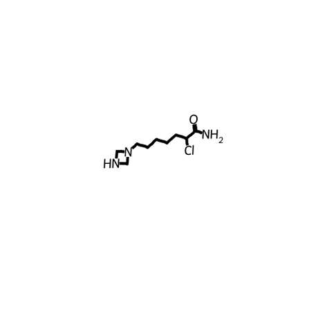 NC(=O)C(Cl)CCCCCN1CNC1